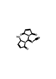 N#C/N=C(\N1C(=O)C=CC1=O)N1C(=O)C=CC1O